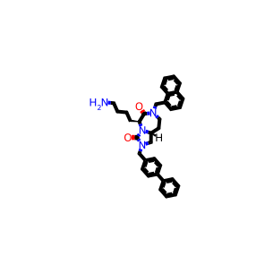 NCCCC[C@H]1C(=O)N(Cc2cccc3ccccc23)CC[C@@H]2CN(Cc3ccc(-c4ccccc4)cc3)C(=O)N21